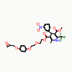 COC(=O)C1=C(C(F)(F)F)NC(C)=C(C(=O)OCCOCCOc2ccc(OCC3CO3)cc2)C1c1cccc([N+](=O)[O-])c1